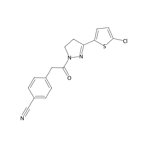 N#Cc1ccc(CC(=O)N2CCC(c3ccc(Cl)s3)=N2)cc1